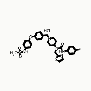 CS(=O)(=O)Nc1ccc(Oc2ccc(CN3CCC(N(Cc4nccs4)C(=O)Nc4ccc(F)cc4)CC3)cc2)cc1.Cl